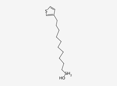 O[SiH2]CCCCCCCCCCc1ccsc1